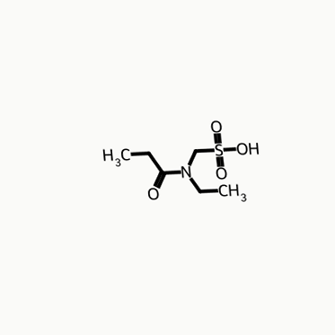 CCC(=O)N(CC)CS(=O)(=O)O